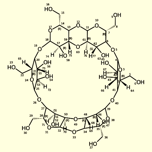 OC[C@H]1OC2OC3[C@@H](CO)OC4OC5[C@@H](CO)OC(OC6[C@@H](CO)OC(OC7[C@@H](CO)OC8OC9[C@@H](CO)OC(OC1[C@H](O)[C@H]2O)[C@H](O)[C@H]9O[C@@H]8[C@H]7O)[C@H](O)[C@H]6O)[C@H](O)[C@H]5O[C@@H]4[C@H]3O